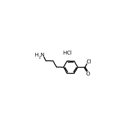 Cl.NCCCc1ccc(C(=O)Cl)cc1